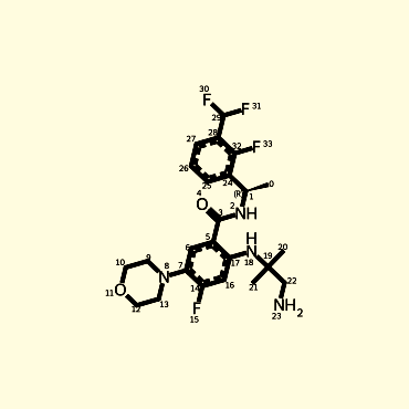 C[C@@H](NC(=O)c1cc(N2CCOCC2)c(F)cc1NC(C)(C)CN)c1cccc(C(F)F)c1F